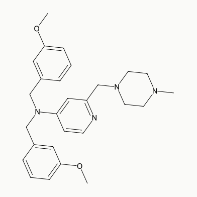 COc1cccc(CN(Cc2cccc(OC)c2)c2ccnc(CN3CCN(C)CC3)c2)c1